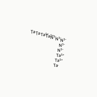 [N-3].[N-3].[N-3].[N-3].[N-3].[Ta+5].[Ta+5].[Ta+5].[Ta+5].[Ta].[Ta].[Ta]